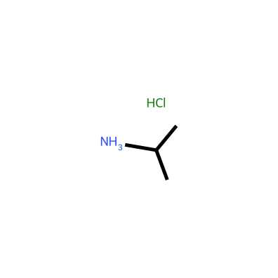 CC(C)C.Cl.N